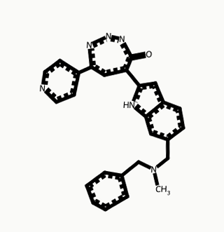 CN(Cc1ccccc1)Cc1ccc2cc(-c3cc(-c4ccncc4)nnnc3=O)[nH]c2c1